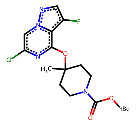 CC(C)(C)OC(=O)N1CCC(C)(Oc2nc(Cl)cn3ncc(F)c23)CC1